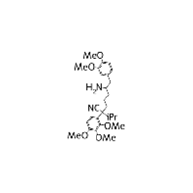 COc1ccc(CC(N)CCCC(C#N)(c2ccc(OC)c(OC)c2OC)C(C)C)cc1OC